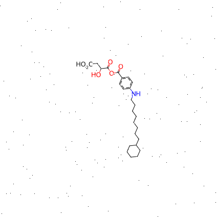 O=C(O)CC(O)C(=O)OC(=O)c1ccc(NCCCCCCCCC2CCCCC2)cc1